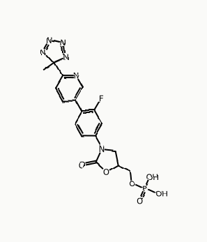 CC1(c2ccc(-c3ccc(N4CC(COP(=O)(O)O)OC4=O)cc3F)cn2)N=NN=N1